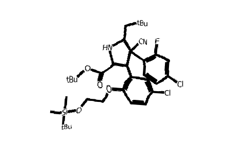 CC(C)(C)CC1NC(C(=O)OC(C)(C)C)C(c2cc(Cl)ccc2OCCO[Si](C)(C)C(C)(C)C)C1(C#N)c1ccc(Cl)cc1F